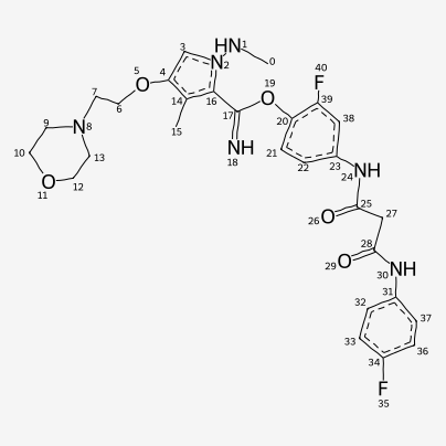 CNn1cc(OCCN2CCOCC2)c(C)c1C(=N)Oc1ccc(NC(=O)CC(=O)Nc2ccc(F)cc2)cc1F